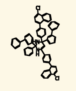 Clc1ccc(-c2ccc(C3=CC(c4ccc(-c5ccc(Cl)c6ccccc56)cc4)(c4cccc(-c5ccccc5)c4)NC(c4ccccc4)(c4cccc(-c5ccccc5)c4)N3)cc2)c2ccccc12